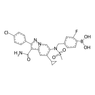 CS(=O)(=O)N(Cc1ccc(B(O)O)c(F)c1)c1cn2nc(-c3ccc(Cl)cc3)c(C(N)=O)c2cc1C1CC1